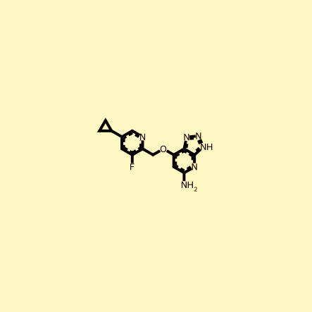 Nc1cc(OCc2ncc(C3CC3)cc2F)c2nn[nH]c2n1